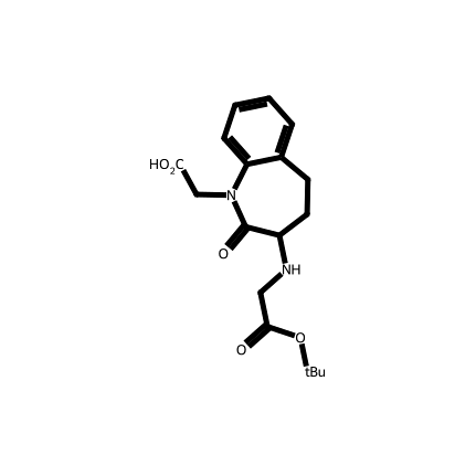 CC(C)(C)OC(=O)CNC1CCc2ccccc2N(CC(=O)O)C1=O